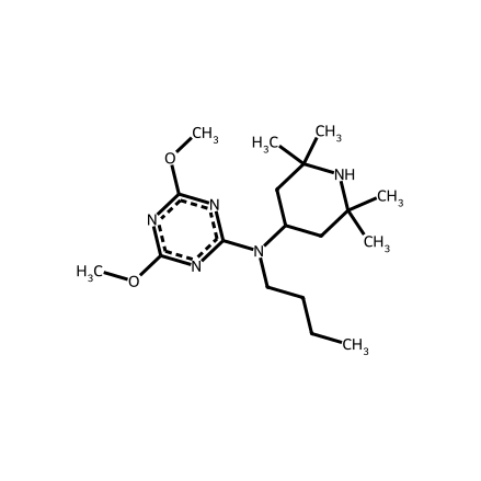 CCCCN(c1nc(OC)nc(OC)n1)C1CC(C)(C)NC(C)(C)C1